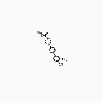 CC(C)(C)OC(=O)N1CCN(c2ccc(-c3cnc(C#N)c(C(F)(F)F)c3)cc2)CC1